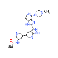 CN1CCN(c2nccc3[nH]c(-c4n[nH]c5ncc(-c6cncc(NC(=O)C(C)(C)C)c6)cc45)nc23)CC1